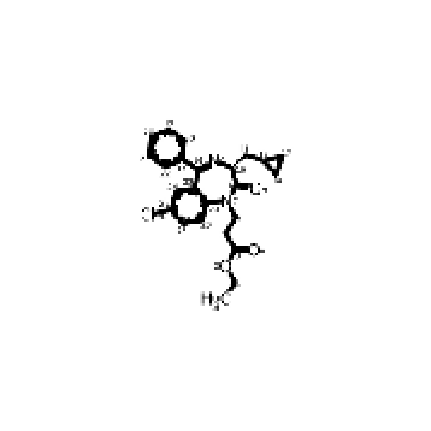 CCOC(=O)CCN1C(=O)[C@H](CC2CC2)N=C(c2ccccc2)c2cc(Cl)ccc21